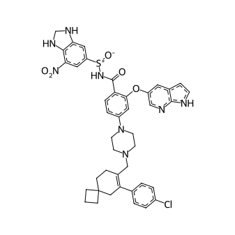 O=C(N[S+]([O-])c1cc2c(c([N+](=O)[O-])c1)NCN2)c1ccc(N2CCN(CC3=C(c4ccc(Cl)cc4)CC4(CCC4)CC3)CC2)cc1Oc1cnc2[nH]ccc2c1